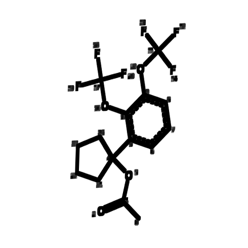 CC(=O)OC1(c2cccc(OC(F)(F)F)c2OC(F)(F)F)CCCC1